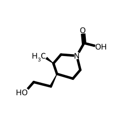 C[C@H]1CN(C(=O)O)CC[C@H]1CCO